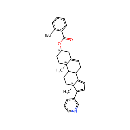 CC(C)(C)c1ccccc1C(=O)O[C@H]1CC[C@@]2(C)C(=CCC3C4=CC=C(c5cccnc5)[C@@]4(C)CCC32)C1